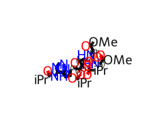 COC(=O)[C@H](C)NP(=O)(N[C@@H](C)C(=O)OC)OC[C@@]1(C)O[C@@H](c2ccc3c(NC(=O)C(C)C)ncnn23)[C@H](OC(=O)C(C)C)[C@@H]1OC(=O)C(C)C